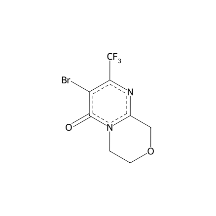 O=c1c(Br)c(C(F)(F)F)nc2n1CCOC2